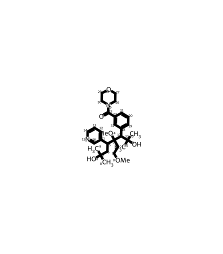 COCCC(OC)([C](CC(C)(C)O)c1cccnc1)C(c1cccc(C(=O)N2CCOCC2)c1)C(C)(C)O